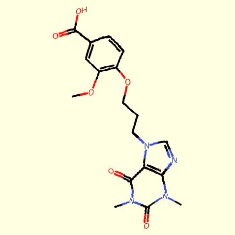 COc1cc(C(=O)O)ccc1OCCCn1cnc2c1c(=O)n(C)c(=O)n2C